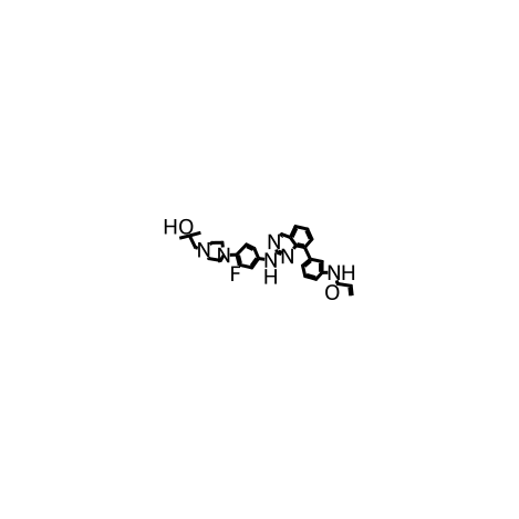 C=CC(=O)Nc1cccc(-c2cccc3cnc(Nc4ccc(N5CCN(CC(C)(C)O)CC5)c(F)c4)nc23)c1